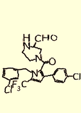 O=CC1CN(C(=O)c2c(-c3ccc(Cl)cc3)cc(C(F)(F)F)n2Cc2cccc(Cl)c2)CCN1